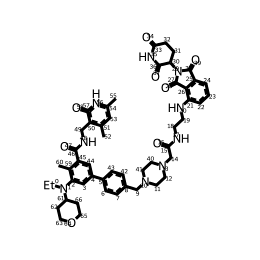 CCN(c1cc(-c2ccc(CN3CCN(CC(=O)NCCNc4cccc5c4C(=O)N(C4CCC(=O)NC4=O)C5=O)CC3)cc2)cc(C(=O)NCc2c(C)cc(C)[nH]c2=O)c1C)C1CCOCC1